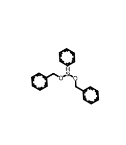 c1ccc(CO[SiH](OCc2ccccc2)c2ccccc2)cc1